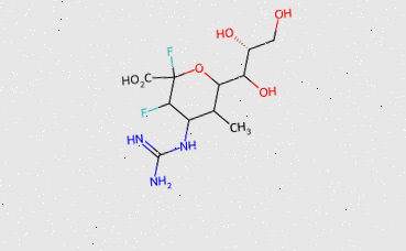 CC1C(NC(=N)N)C(F)C(F)(C(=O)O)OC1C(O)[C@H](O)CO